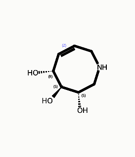 O[C@H]1[C@H](O)/C=C\CNC[C@@H]1O